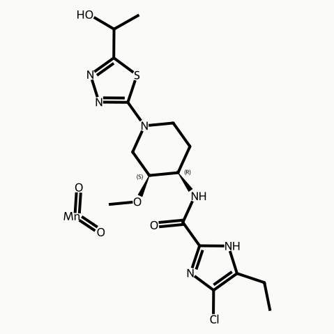 CCc1[nH]c(C(=O)N[C@@H]2CCN(c3nnc(C(C)O)s3)C[C@@H]2OC)nc1Cl.[O]=[Mn]=[O]